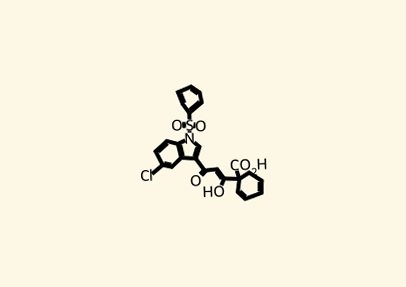 O=C(C=C(O)C1(C(=O)O)C=CC=CC1)c1cn(S(=O)(=O)c2ccccc2)c2ccc(Cl)cc12